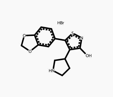 Br.Oc1nsc(-c2ccc3c(c2)OCO3)c1C1CCNC1